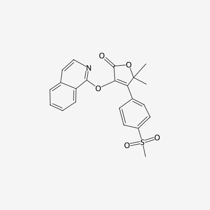 CC1(C)OC(=O)C(Oc2nccc3ccccc23)=C1c1ccc(S(C)(=O)=O)cc1